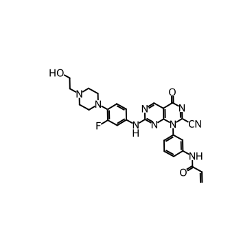 C=CC(=O)Nc1cccc(-n2c(C#N)nc(=O)c3cnc(Nc4ccc(N5CCN(CCO)CC5)c(F)c4)nc32)c1